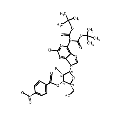 CC(C)(C)OC(=O)N(C(=O)OC(C)(C)C)c1nc(Cl)nc2c1ncn2[C@@H]1O[C@H](CO)[C@H](OC(=O)c2ccc([N+](=O)[O-])cc2)[C@@H]1F